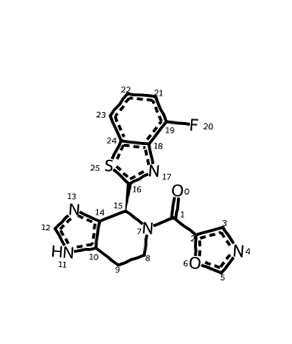 O=C(c1cnco1)N1CCc2[nH]cnc2[C@H]1c1nc2c(F)cccc2s1